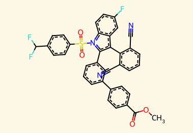 COC(=O)c1ccc(-c2cccc(-c3c(-c4c(C#N)cccc4C#N)c4cc(F)ccc4n3S(=O)(=O)c3ccc(C(F)F)cc3)c2)cc1